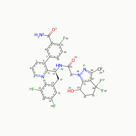 NC(=O)c1cc(-c2cccnc2[C@H](Cc2cc(F)cc(F)c2)NC(=O)Cn2nc(C(F)(F)F)c3c2C(O)CCC3(F)F)ccc1F